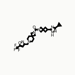 O=C(N1CC2(CCN(Cc3cc(C(F)(F)F)on3)CC2)C1)N1CC2(CC(c3nc(C4CC4)n[nH]3)C2)C1